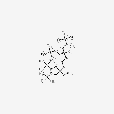 CO[Si](CCO[Si](CO[Si](C)(C)C)(OC)OC[Si](C)(C)C)(CO[Si](C)(C)C)OC[Si](C)(C)C